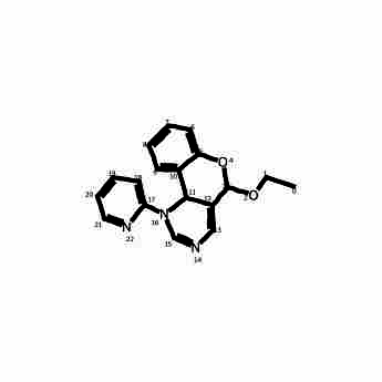 CCOC1Oc2ccccc2C2C1=CN=CN2c1ccccn1